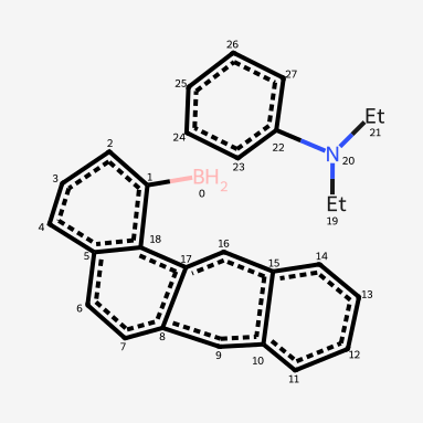 Bc1cccc2ccc3cc4ccccc4cc3c12.CCN(CC)c1ccccc1